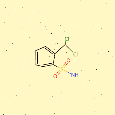 [NH]S(=O)(=O)c1ccccc1C(Cl)Cl